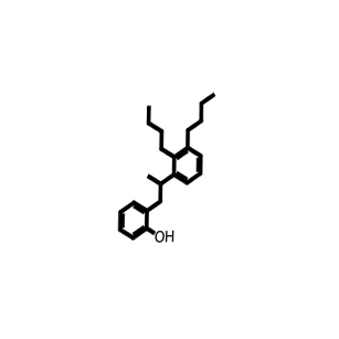 CCCCc1cccc(C(C)Cc2ccccc2O)c1CCCC